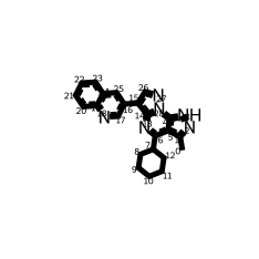 Cc1n[nH]c2c1c(C1CCCCC1)nc1c(-c3cnc4ccccc4c3)cnn12